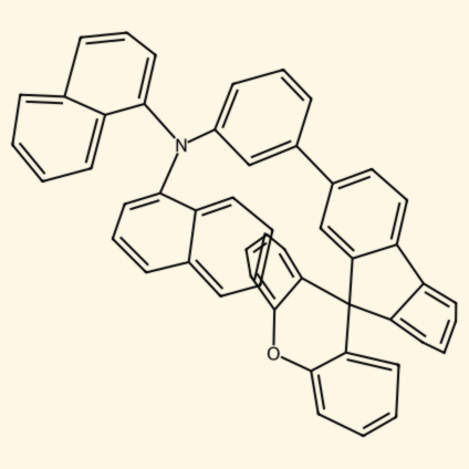 c1cc(-c2ccc3c(c2)C2(c4ccccc4Oc4ccccc42)c2ccccc2-3)cc(N(c2cccc3ccccc23)c2cccc3ccccc23)c1